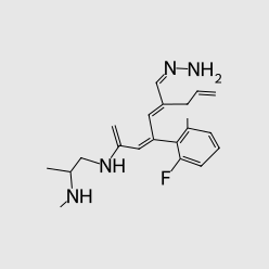 C=CCC(/C=N\N)=C\C(=C/C(=C)NCC(C)NC)c1c(C)cccc1F